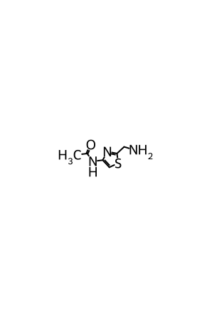 CC(=O)Nc1csc(CN)n1